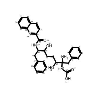 NC(Cc1ccccc1)(NC(=O)O)C(O)CCC(O)C(Cc1ccccc1)NC(=O)c1ccc2ccccc2n1